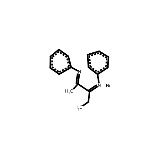 CCC(=Nc1ccccc1)C(C)=Nc1ccccc1.[Ni]